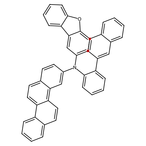 c1ccc(N(c2ccc3ccc4c5ccccc5ccc4c3c2)c2ccc3oc4ccccc4c3c2)c(-c2ccc3ccccc3c2)c1